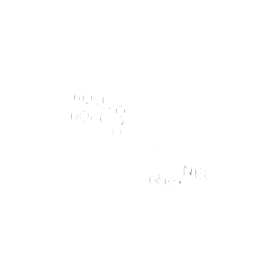 CCCCCCCCC(CCCCCCCC)OC(=O)CCCCCCCN(CC)CCCCCC